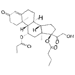 CCCC(=O)O[C@]1(C(=O)CO)CC[C@H]2[C@@H]3CCC4=CC(=O)CC[C@]4(C)[C@H]3[C@@H](OC(=O)CC)C[C@@]21C